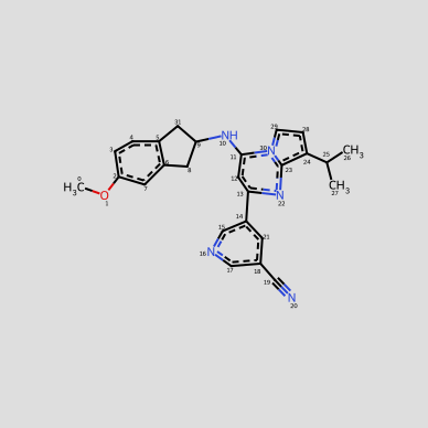 COc1ccc2c(c1)CC(Nc1cc(-c3cncc(C#N)c3)nc3c(C(C)C)ccn13)C2